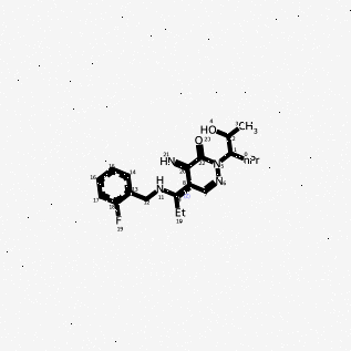 CCCC(C(C)O)N1N=C/C(=C(\CC)NCc2ccccc2F)C(=N)C1=O